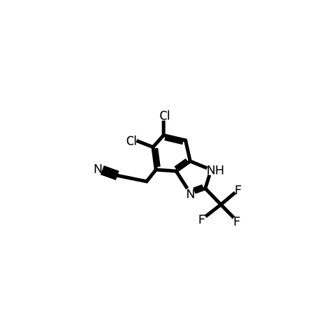 N#CCc1c(Cl)c(Cl)cc2[nH]c(C(F)(F)F)nc12